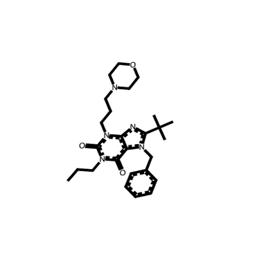 CCCn1c(=O)c2c(nc(C(C)(C)C)n2Cc2ccccc2)n(CCCN2CCOCC2)c1=O